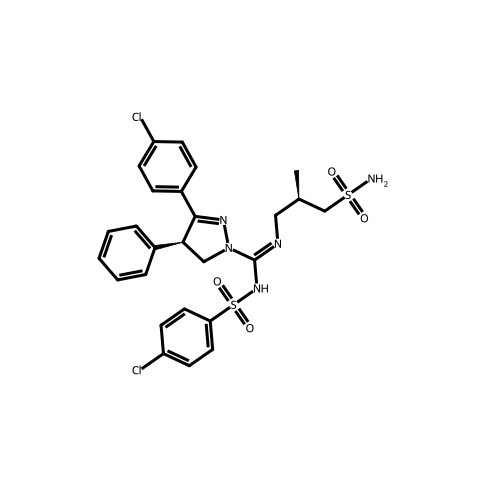 C[C@H](C/N=C(/NS(=O)(=O)c1ccc(Cl)cc1)N1C[C@@H](c2ccccc2)C(c2ccc(Cl)cc2)=N1)CS(N)(=O)=O